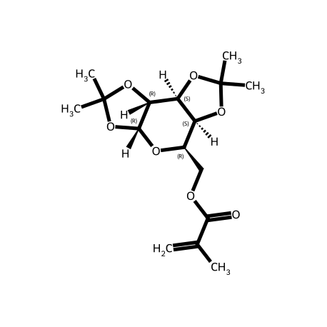 C=C(C)C(=O)OC[C@H]1O[C@@H]2OC(C)(C)O[C@@H]2[C@H]2OC(C)(C)O[C@H]21